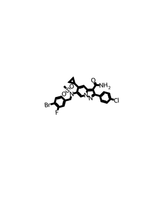 CS(=O)(=O)N(Cc1ccc(Br)c(F)c1)c1cn2nc(-c3ccc(Cl)cc3)c(C(N)=O)c2cc1C1CC1